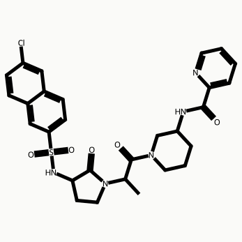 CC(C(=O)N1CCCC(NC(=O)c2ccccn2)C1)N1CCC(NS(=O)(=O)c2ccc3cc(Cl)ccc3c2)C1=O